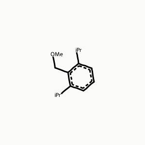 COCc1c(C(C)C)cccc1C(C)C